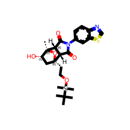 CC(C)(C)[Si](C)(C)OCC[C@]12C[C@H](O)[C@](C)(O1)[C@@H]1C(=O)N(c3ccc4ncsc4c3)C(=O)[C@@H]12